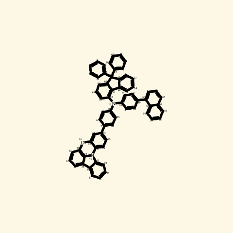 c1ccc(C2(c3ccccc3)c3ccccc3-c3c(N(c4ccc(-c5ccc6c(c5)Oc5cccc7c8ccccc8n-6c57)cc4)c4ccc(-c5cccc6ccccc56)cc4)cccc32)cc1